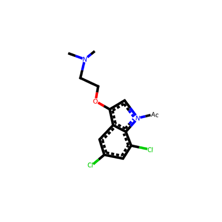 CC(=O)n1cc(OCCN(C)C)c2cc(Cl)cc(Cl)c21